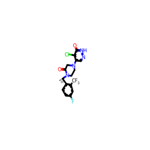 C[C@@H](c1ccc(F)cc1C(F)(F)F)N1CCN(c2cn[nH]c(=O)c2Cl)CC1=O